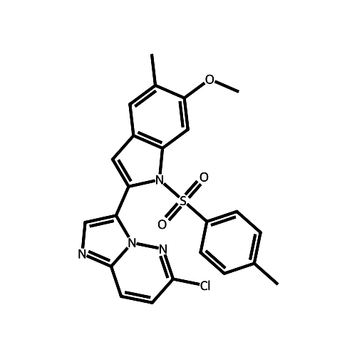 COc1cc2c(cc1C)cc(-c1cnc3ccc(Cl)nn13)n2S(=O)(=O)c1ccc(C)cc1